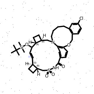 CC(C)(C)[Si](C)(C)OC1/C=C/[C@@H]2CC[C@H]2CS(=O)(=O)NC(=O)c2ccc3c(c2)N(CCCCc2cc(Cl)ccc2CO3)C[C@@H]2CC[C@@H]12